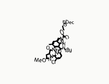 CCCCCCCCCCOCCOC(=O)n1cc2cc(C)c(NC(=O)C3CC(OC)=NN3c3ncccc3Cl)c(C(=O)NC(C)(C)C)c2n1